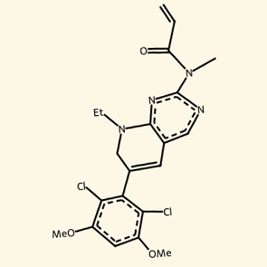 C=CC(=O)N(C)c1ncc2c(n1)N(CC)CC(c1c(Cl)c(OC)cc(OC)c1Cl)=C2